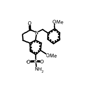 COc1ccccc1CN1C(=O)CCc2cc(S(N)(=O)=O)c(OC)cc21